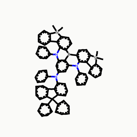 C[Si]1(C)c2ccccc2-c2c1ccc1c2N(c2ccccc2)c2cc(N(c3ccccc3)c3cccc4c3-c3ccccc3C4(c3ccccc3)c3ccccc3)cc3c2B1c1ccc2c(c1N3c1ccccc1)-c1ccccc1[Si]2(C)C